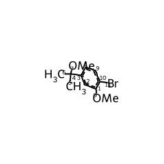 COc1cc(C(C)(C)OC)ccc1Br